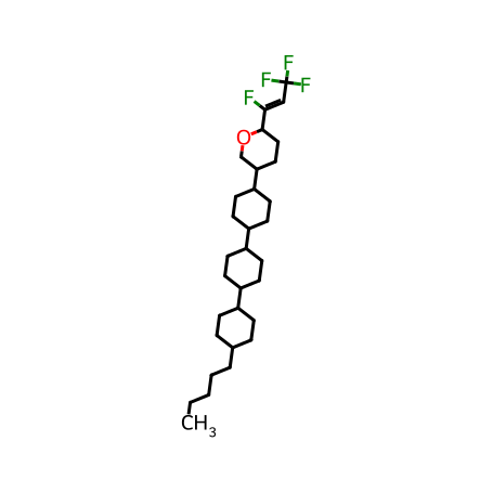 CCCCCC1CCC(C2CCC(C3CCC(C4CCC(/C(F)=C/C(F)(F)F)OC4)CC3)CC2)CC1